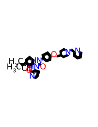 CC(C)(C)c1ccccc1Oc1ncccc1NC(=O)Nc1ccc(OCC2CCN(Cc3ccccn3)CC2)cc1